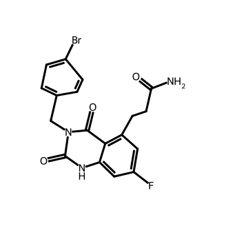 NC(=O)CCc1cc(F)cc2[nH]c(=O)n(Cc3ccc(Br)cc3)c(=O)c12